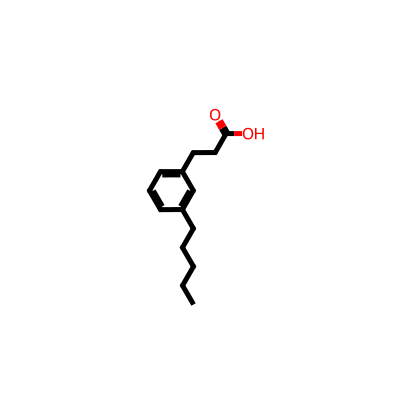 CCCCCc1cccc(CCC(=O)O)c1